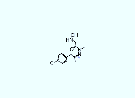 C/C(Cc1ccc(Cl)cc1)=N/N(C)C(=O)CNO